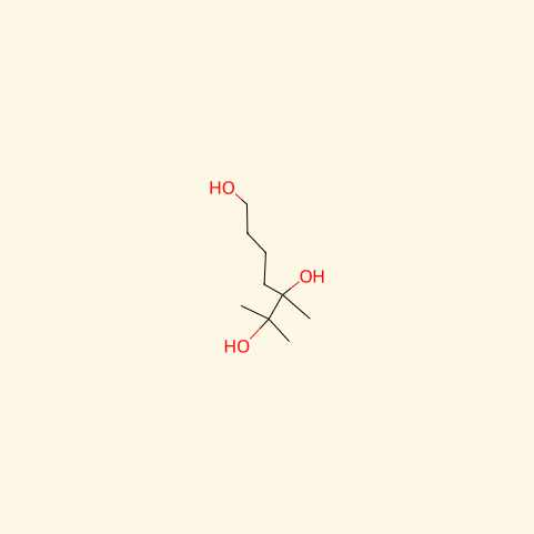 CC(C)(O)C(C)(O)CCCCO